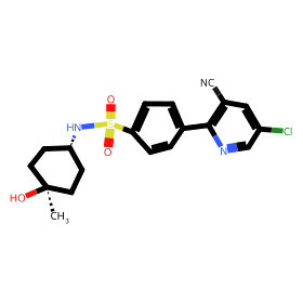 C[C@]1(O)CC[C@H](NS(=O)(=O)c2ccc(-c3ncc(Cl)cc3C#N)cc2)CC1